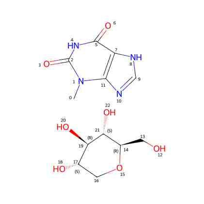 Cn1c(=O)[nH]c(=O)c2[nH]cnc21.OC[C@H]1OC[C@H](O)[C@@H](O)[C@@H]1O